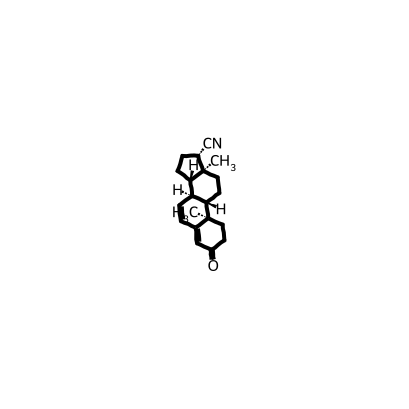 C[C@]12CC[C@H]3[C@@H](C=CC4=CC(=O)CC[C@@]43C)[C@@H]1CC[C@@H]2C#N